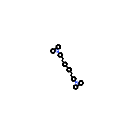 c1ccc2c(c1)c1ccccc1n2-c1ccc(CCc2ccc(-c3ccc(CCc4ccc(-n5c6ccccc6c6ccccc65)cc4)cc3)cc2)cc1